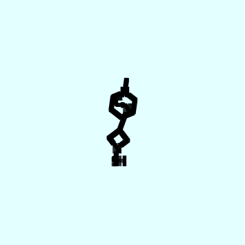 CN1CC2CCC1CN2C1CN(S)C1